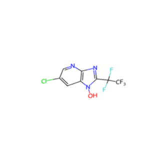 On1c(C(F)(F)C(F)(F)F)nc2ncc(Cl)cc21